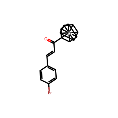 O=C(C=Cc1ccc(Br)cc1)[C]12[CH]3[CH]4[CH]5[CH]1[Fe]45321678[CH]2[CH]1[CH]6[CH]7[CH]28